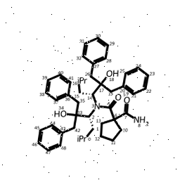 CC(C)C[C@@H](N(C(=O)C1(C(N)=O)CCCC1)[C@H](CC(C)C)C(O)(Cc1ccccc1)Cc1ccccc1)C(O)(Cc1ccccc1)Cc1ccccc1